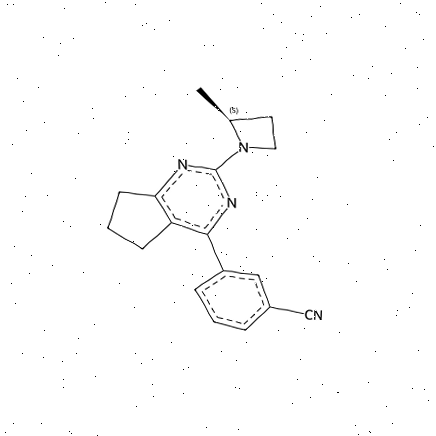 C[C@H]1CCN1c1nc2c(c(-c3cccc(C#N)c3)n1)CCC2